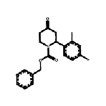 Cc1cc(F)ccc1C1CC(=O)CCN1C(=O)OCc1ccccc1